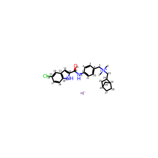 C[N+](C)(Cc1ccc(NC(=O)c2cc3cc(Cl)ccc3[nH]2)cc1)CC1CC2CCC1C2.[I-]